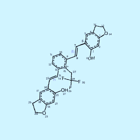 Oc1cc2c(cc1/C=C/c1cccc(/C=C/c3cc4c(cc3O)OCC4)[n+]1CC(F)(F)F)CCO2